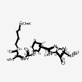 CCCCCCCCCCCCCCOC(=O)C(CCC)NC(=O)Nc1cccc(-c2nn3nc(C(C)(C)C)c(Cl)c3[nH]2)c1